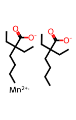 CCCCC(CC)(CC)C(=O)[O-].CCCCC(CC)(CC)C(=O)[O-].[Mn+2]